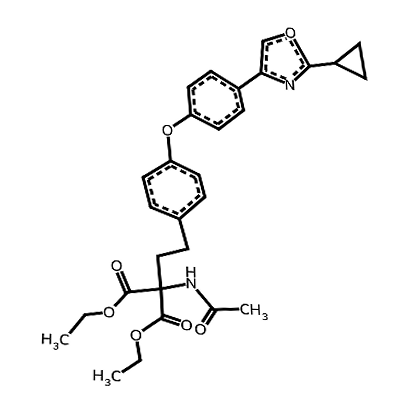 CCOC(=O)C(CCc1ccc(Oc2ccc(-c3coc(C4CC4)n3)cc2)cc1)(NC(C)=O)C(=O)OCC